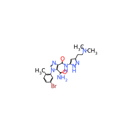 Cc1ccc(Br)cc1-n1cnc(C(=O)Nc2cc(CCN(C)C)n[nH]2)c1C(N)=O